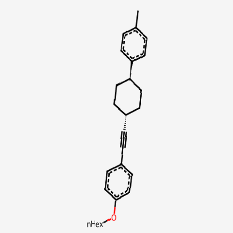 CCCCCCOc1ccc(C#C[C@H]2CC[C@H](c3ccc(C)cc3)CC2)cc1